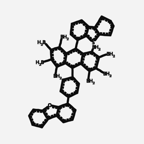 Bc1c(B)c(B)c2c(-c3cccc4c3sc3ccccc34)c3c(B)c(B)c(B)c(B)c3c(-c3ccc(-c4cccc5c4oc4ccccc45)cc3)c2c1B